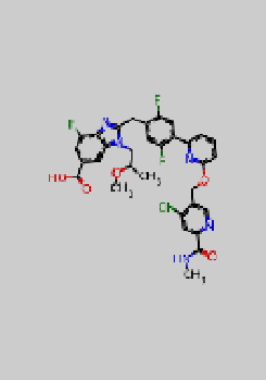 CNC(=O)c1cc(Cl)c(COc2cccc(-c3cc(F)c(Cc4nc5c(F)cc(C(=O)O)cc5n4C[C@@H](C)OC)cc3F)n2)cn1